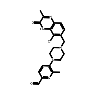 Cc1nc(C=O)ccc1N1CCN(Cc2ccc3nc(C)c(=O)[nH]c3c2Cl)CC1